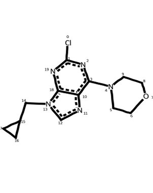 Clc1nc(N2CCOCC2)c2ncn(CC3CC3)c2n1